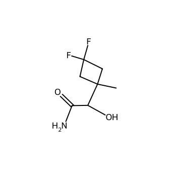 CC1(C(O)C(N)=O)CC(F)(F)C1